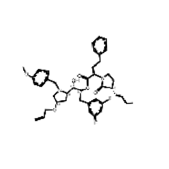 C=CCO[C@@H]1C[C@H]([C@H](O)[C@H](Cc2cc(F)cc(F)c2)OC(=O)C(CCc2ccccc2)N2CC[C@H](CCCC)C2=O)N(Cc2ccc(OC)cc2)C1